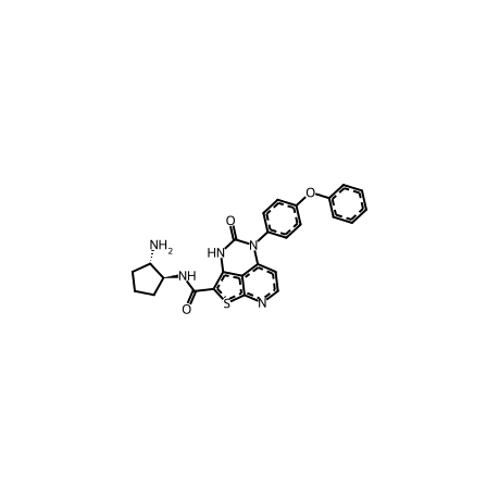 N[C@H]1CCC[C@@H]1NC(=O)c1sc2nccc3c2c1NC(=O)N3c1ccc(Oc2ccccc2)cc1